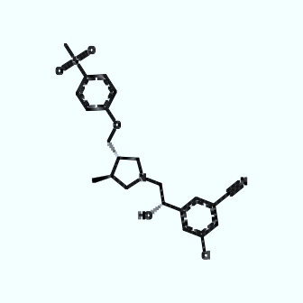 C[C@@H]1CN(C[C@@H](O)c2cc(Cl)cc(C#N)c2)C[C@H]1COc1ccc(S(C)(=O)=O)cc1